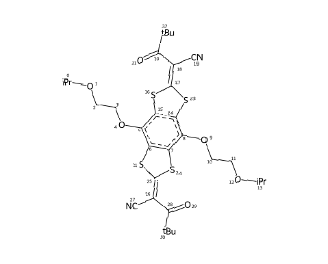 CC(C)OCCOc1c2c(c(OCCOC(C)C)c3c1SC(=C(C#N)C(=O)C(C)(C)C)S3)SC(=C(C#N)C(=O)C(C)(C)C)S2